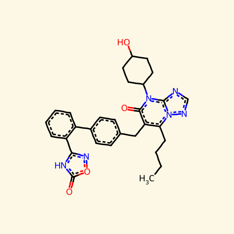 CCCCc1c(Cc2ccc(-c3ccccc3-c3noc(=O)[nH]3)cc2)c(=O)n(C2CCC(O)CC2)c2ncnn12